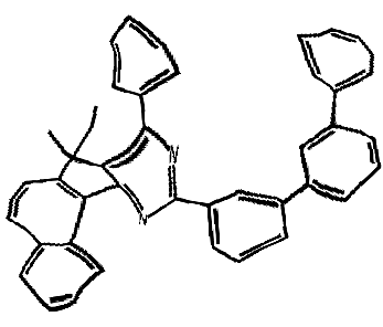 CC1(C)c2ccc3ccccc3c2-c2nc(-c3cccc(-c4cccc(-c5ccccc5)c4)c3)nc(-c3ccccc3)c21